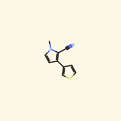 Cn1ccc(-c2ccsc2)c1C#N